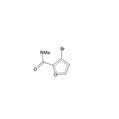 CNC(=O)c1occc1Br